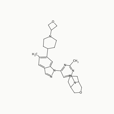 Cc1nc(N2C3COCC2COC3)cc(-n2ncc3cc(C)c(C4CCN(C5COC5)CC4)cc32)n1